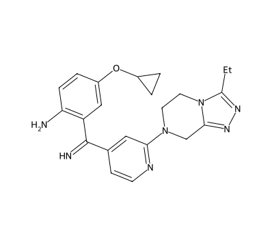 CCc1nnc2n1CCN(c1cc(C(=N)c3cc(OC4CC4)ccc3N)ccn1)C2